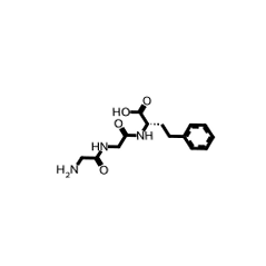 NCC(=O)NCC(=O)N[C@@H](CCc1ccccc1)C(=O)O